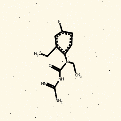 CCc1cc(F)ccc1N(CC)C(=O)NC(=N)N